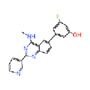 CNc1nc(-c2cccnc2)nc2ccc(-c3cc(O)cc(F)c3)cc12